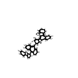 c1ccc2c(c1)oc1c2c2ccccc2c2sc3cc(-c4c5ccccc5c(-c5cccc6c5sc5ccccc56)c5ccccc45)ccc3c12